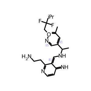 C=C(C)/C=C(\C=N/OCC(F)(F)C(C)C)C(C)N/C=C1\C(=N)C=CN=C1CCN